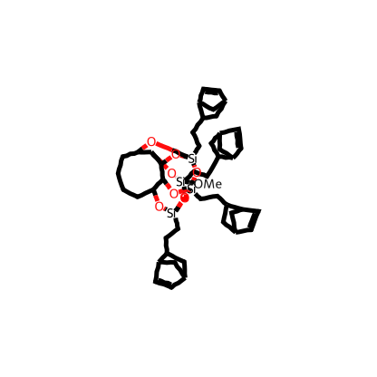 CO[Si]1(CCC2CC3C=CC2C3)OC2C3CCCCC4O[Si](CCC5CC6C=CC5C6)(O1)O[Si]1(CCC5CC6C=CC5C6)OC4C2O[Si](CCC2CC4C=CC2C4)(O3)O1